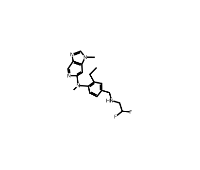 CCc1cc(CNCC(F)F)ccc1N(C)c1cc2c(cn1)ncn2C